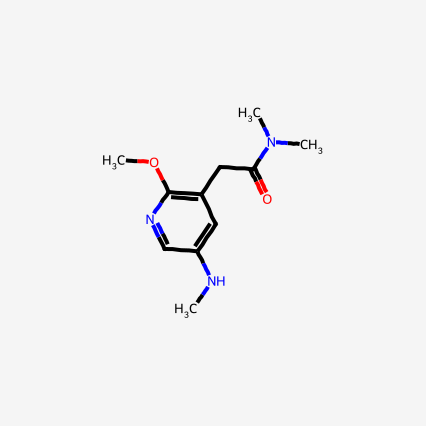 CNc1cnc(OC)c(CC(=O)N(C)C)c1